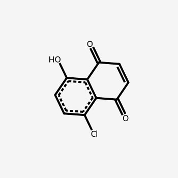 O=C1C=CC(=O)c2c(Cl)ccc(O)c21